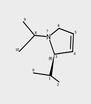 CC(C)[C@@H]1C=CCN1C(C)C